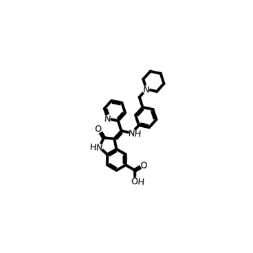 O=C1Nc2ccc(C(=O)O)cc2C1=C(Nc1cccc(CN2CCCCC2)c1)c1ccccn1